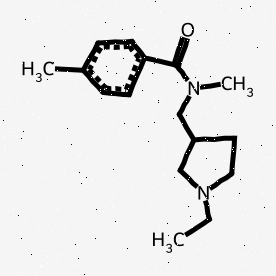 CCN1CCC(CN(C)C(=O)c2ccc(C)cc2)C1